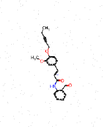 CCC#CCOc1ccc(/C=C/C(=O)Nc2ccccc2C=O)cc1OC